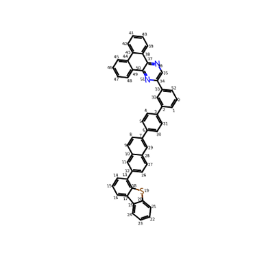 c1cc(-c2ccc(-c3ccc4cc(-c5cccc6c5sc5ccccc56)ccc4c3)cc2)cc(-c2cnc3c4ccccc4c4ccccc4c3n2)c1